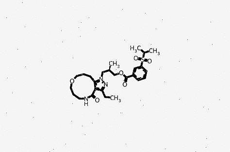 CCc1nn(C[C@@H](C)COC(=O)c2cccc(S(=O)(=O)C(C)C)c2)c2c1C(=O)NCCCOCCC2